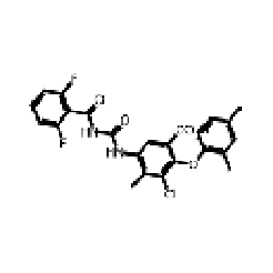 Cc1ccc(Oc2c(C(=O)O)cc(NC(=O)NC(=O)c3c(F)cccc3F)c(C)c2Cl)c(C)c1